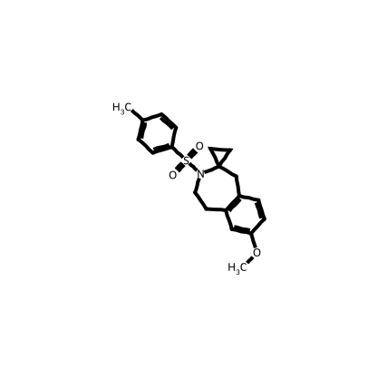 COc1ccc2c(c1)CCN(S(=O)(=O)c1ccc(C)cc1)C1(CC1)C2